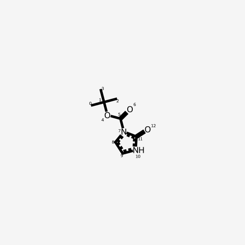 CC(C)(C)OC(=O)n1cc[nH]c1=O